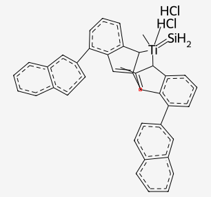 CC1=Cc2c(-c3ccc4ccccc4c3)cccc2[CH]1[Ti]([CH3])([CH3])(=[SiH2])[CH]1C(C)=Cc2c(-c3ccc4ccccc4c3)cccc21.Cl.Cl